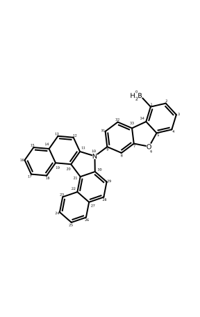 Bc1cccc2oc3cc(-n4c5ccc6ccccc6c5c5c6ccccc6ccc54)ccc3c12